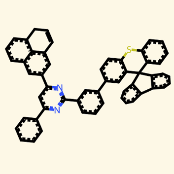 C1=Cc2cc(-c3cc(-c4ccccc4)nc(-c4cccc(-c5ccc6c(c5)C5(c7ccccc7S6)c6ccccc6-c6ccccc65)c4)n3)cc3cccc(c23)C1